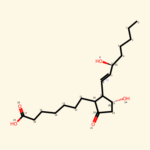 CCCCC[C@H](O)/C=C/C1C(CCCCCCC(=O)O)C(=O)C[C@H]1O